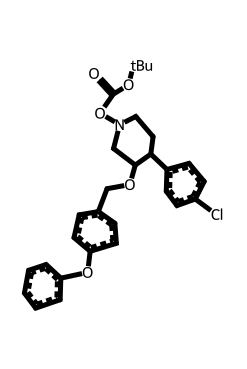 CC(C)(C)OC(=O)ON1CCC(c2ccc(Cl)cc2)C(OCc2ccc(Oc3ccccc3)cc2)C1